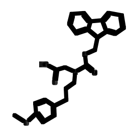 COc1ccc(CCCN(CC(=O)O)C(=O)OCC2c3ccccc3-c3ccccc32)cc1